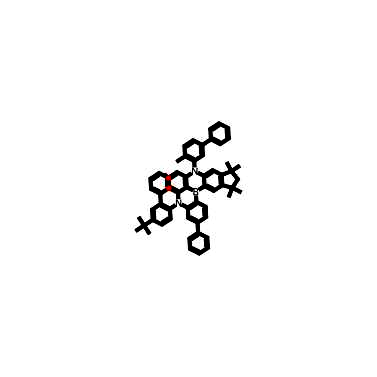 Cc1cc2c3c(c1)N(c1ccc(C(C)(C)C)cc1-c1ccccc1)c1cc(-c4ccccc4)ccc1B3c1cc3c(cc1N2c1cc(-c2ccccc2)ccc1C)C(C)(C)CC3(C)C